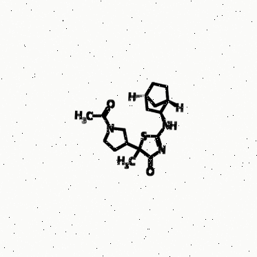 CC(=O)N1CCC(C2(C)SC(N[C@H]3C[C@H]4CC[C@H]3C4)=NC2=O)C1